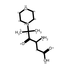 CC(C)(C(=O)C(N)CC(=O)O)N1CCOCC1